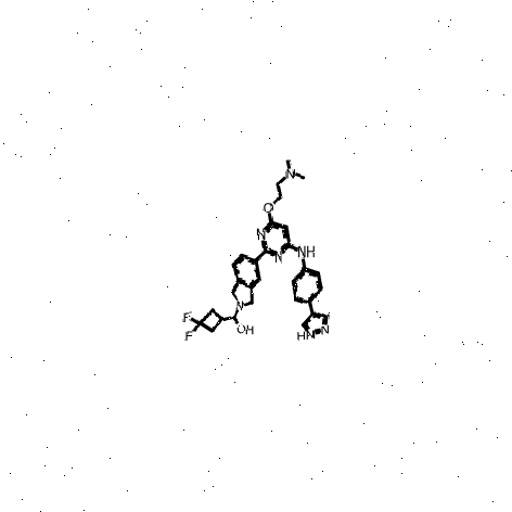 CN(C)CCOc1cc(Nc2ccc(-c3cn[nH]c3)cc2)nc(-c2ccc3c(c2)CN(C(O)C2CC(F)(F)C2)C3)n1